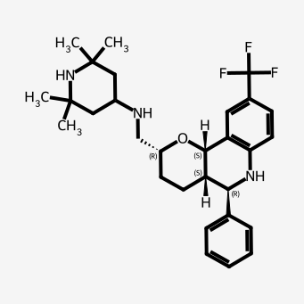 CC1(C)CC(NC[C@H]2CC[C@@H]3[C@H](O2)c2cc(C(F)(F)F)ccc2N[C@H]3c2ccccc2)CC(C)(C)N1